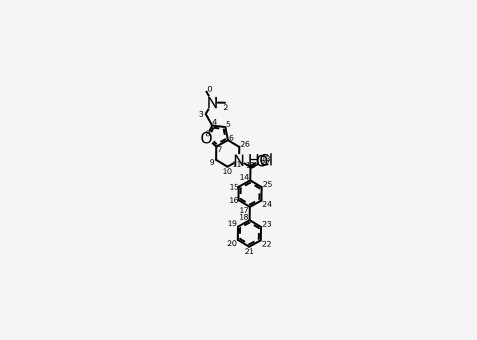 CN(C)Cc1cc2c(o1)CCN(C(=O)c1ccc(-c3ccccc3)cc1)C2.Cl